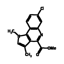 COC(=O)c1nc2cc(Cl)ccc2c2c1c(C)cn2C